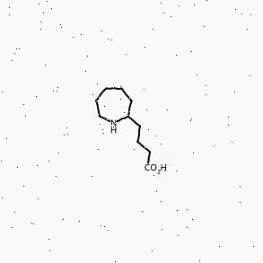 O=C(O)CCCC1CCCCCN1